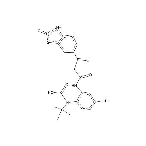 CC(C)(C)N(C(=O)O)c1ccc(Br)cc1NC(=O)CC(=O)c1ccc2[nH]c(=O)sc2c1